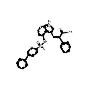 NC(=O)C(=Cc1c[nH]c2nccc(NS(=O)(=O)c3ccc(-c4ccccc4)cc3)c12)c1ccccc1